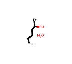 CCCCCCCC(O)CC.O